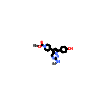 CCC(C)Nc1ncc2c(C3=CCN(C(=O)OC(C)(C)C)CC3)cc(C3CCC(O)CC3)n2n1